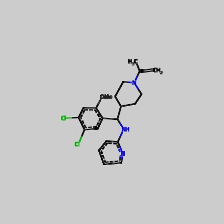 C=C(C)N1CCC(C(Nc2ccccn2)c2cc(Cl)c(Cl)cc2OC)CC1